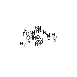 CSc1ccc(OC(F)F)c(-c2nn(Cc3nnn(C4CN(CCN(C)C)C4)n3)cc2NC(=O)c2cnn3cccnc23)c1